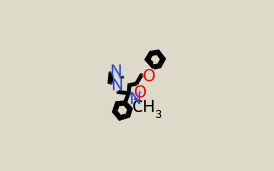 CN1OC(COc2ccccc2)CC1(Cn1ccnc1)c1ccccc1